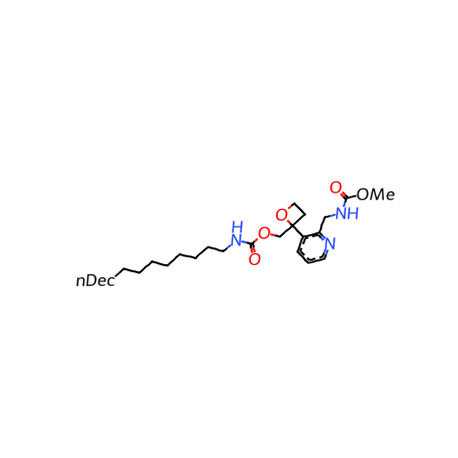 CCCCCCCCCCCCCCCCCCNC(=O)OCC1(c2cccnc2CNC(=O)OC)CCO1